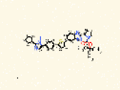 CC(C)(C)OC(=O)N1CCC[C@H]1c1nc2ccc(-c3ccc(-c4ccc(-c5cnc(C6CCCC6)[nH]5)cc4)s3)cc2[nH]1